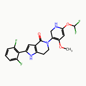 COC1=C(N2CCc3[nH]c(-c4c(F)cccc4F)cc3C2=O)CNC(OC(F)F)=C1